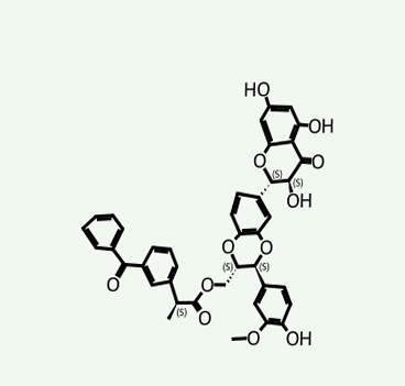 COc1cc([C@@H]2Oc3cc([C@@H]4Oc5cc(O)cc(O)c5C(=O)[C@H]4O)ccc3O[C@H]2COC(=O)[C@@H](C)c2cccc(C(=O)c3ccccc3)c2)ccc1O